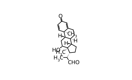 CC(C=O)[C@H]1CC[C@H]2[C@@H]3CCC4=CC(=O)C=C[C@]4(C)[C@H]3C[C@H](O)[C@]12C